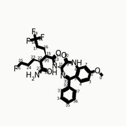 COc1ccc2c(c1)NC(=O)[C@@H](NC(=O)[C@H](CCC(F)(F)F)[C@H](CCCF)C(N)=O)N=C2c1ccccc1